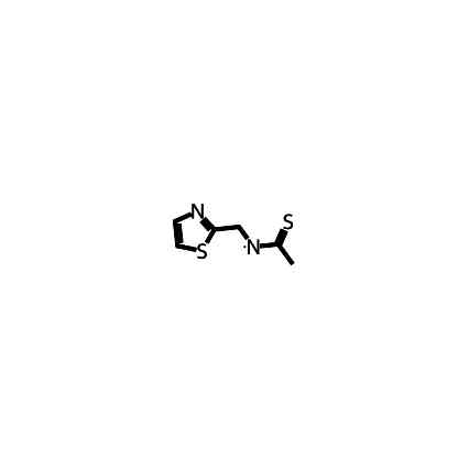 CC(=S)[N]Cc1nccs1